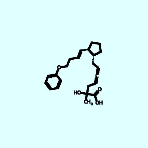 CC(O)(CC=C=CC[C@H]1CCC[C@@H]1/C=C/CCOc1ccccc1)C(=O)O